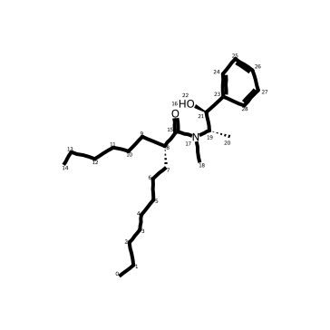 CCCCCCCC[C@H](CCCCCC)C(=O)N(C)[C@@H](C)[C@@H](O)c1ccccc1